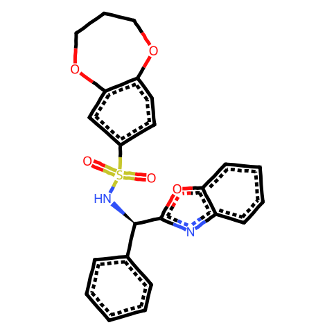 O=S(=O)(N[C@H](c1ccccc1)c1nc2ccccc2o1)c1ccc2c(c1)OCCCO2